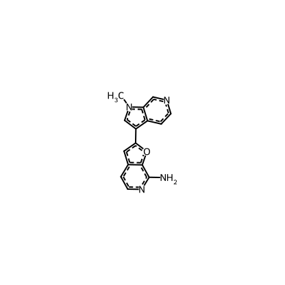 Cn1cc(-c2cc3ccnc(N)c3o2)c2ccncc21